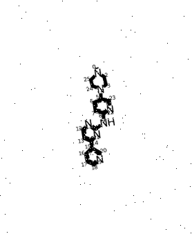 CN1CCN(c2ccc(Nc3nccc(-c4cccnc4)n3)nc2)CC1